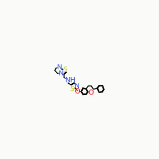 C1=C(CNCc2cnc(Oc3ccc4c(c3)CCC(c3ccccc3)O4)s2)N2CCCN=C2S1